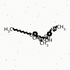 CCCCCCCCCCCCOc1cccc(OCC(COP(=O)(O)Oc2ccc(CN3[CH]N(CC)C=C3)cc2)OCC)c1C